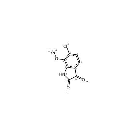 COc1c(Cl)ccc2c1NC(=O)C2=O